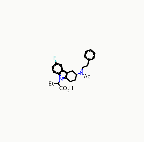 CCC(C(=O)O)n1c2c(c3cc(F)ccc31)C[C@@H](N(CCc1ccccc1)C(C)=O)CC2